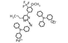 CCCc1cc(-c2ccc(OC)c(C(F)(F)F)c2)nc(C#N)n1.[Cl-].[Cl-].[Pd+2].c1ccc(P(c2ccccc2)c2ccccc2)cc1.c1ccc(P(c2ccccc2)c2ccccc2)cc1